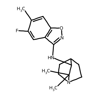 Cc1cc2onc(NC3C4CCN(CC4)C3(C)C)c2cc1F